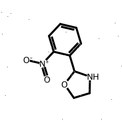 O=[N+]([O-])c1ccccc1C1NCCO1